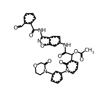 CC(=O)OC(C(=O)Nc1ccc2c(NC(=O)c3ccccc3C=O)noc2c1)c1cccn(-c2cccc(N3CCOCC3=O)c2)c1=O